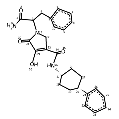 NC(=O)C(Cc1ccccc1)N1CC(C(=O)N[C@H]2CC[C@@H](c3ccccc3)CC2)=C(O)C1=O